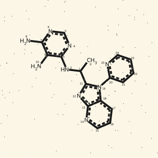 CC(Nc1ncnc(N)c1N)c1nc2ncccc2n1-c1ccccn1